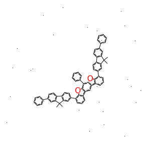 CC1(C)c2cc(-c3ccccc3)ccc2-c2ccc(-c3cccc4c3oc3c(-c5ccccc5)c5oc6c(-c7ccc8c(c7)C(C)(C)c7cc(-c9ccccc9)ccc7-8)cccc6c5cc34)cc21